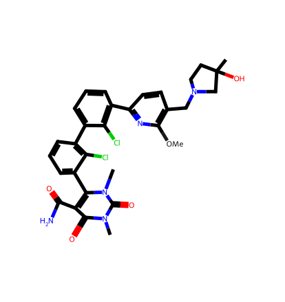 COc1nc(-c2cccc(-c3cccc(-c4c(C(N)=O)c(=O)n(C)c(=O)n4C)c3Cl)c2Cl)ccc1CN1CCC(C)(O)C1